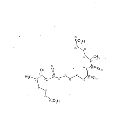 CC(CCCC(=O)O)C(=O)OC(=O)CCCCCC(=O)OC(=O)C(C)CCCC(=O)O